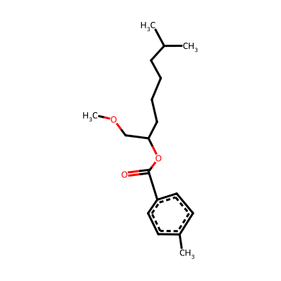 COCC(CCCCC(C)C)OC(=O)c1ccc(C)cc1